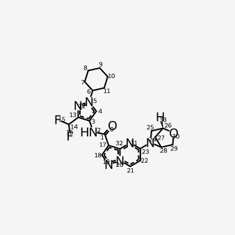 O=C(Nc1cn(C2CCCCC2)nc1C(F)F)c1cnn2ccc(N3C[C@H]4CC3CO4)nc12